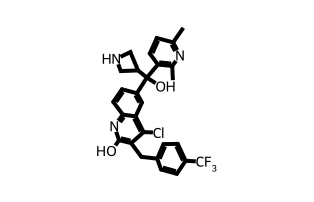 Cc1ccc(C(O)(c2ccc3nc(O)c(Cc4ccc(C(F)(F)F)cc4)c(Cl)c3c2)C2CNC2)c(C)n1